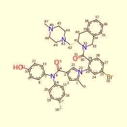 Cc1cc(C(=O)N(c2ccc(O)cc2)c2ccc(F)cc2)cn1-c1cc(Br)ccc1C(=O)N1Cc2ccccc2C[C@H]1CN1CCN(C)CC1